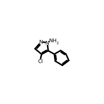 Nn1ncc(Cl)c1-c1ccccc1